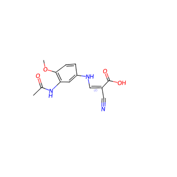 COc1ccc(N/C=C(/C#N)C(=O)O)cc1NC(C)=O